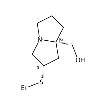 CCS[C@@H]1CN2CCC[C@@]2(CO)C1